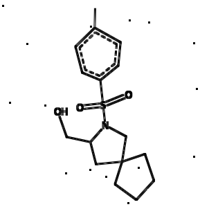 Cc1ccc(S(=O)(=O)N2CC3(CCCC3)CC2CO)cc1